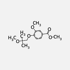 COC(=O)c1ccc(OCC(C)(C)OC)c(OC)c1